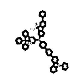 C=C/C(=C\C1=CC(c2ccccc2)(c2ccccc2)c2ccccc21)N(c1ccc(-c2ccc(-c3ccc4c(c3)c3ccccc3n4-c3ccccc3)cc2)cc1)c1ccc2c(c1)C(C)(C)c1cc(-c3ccccc3)ccc1-2